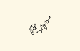 N#Cc1ccc(N2C[C@H]3CN(C(=O)CCOC[C@@H]4CCCN4c4cn[nH]c(=O)c4C(F)(F)F)C[C@@H]3C2)nc1